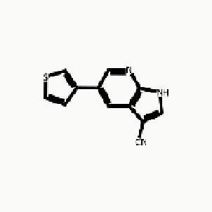 N#Cc1c[nH]c2ncc(-c3ccsc3)cc12